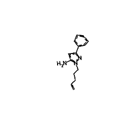 C=CCCCn1nc(-c2ccccc2)cc1N